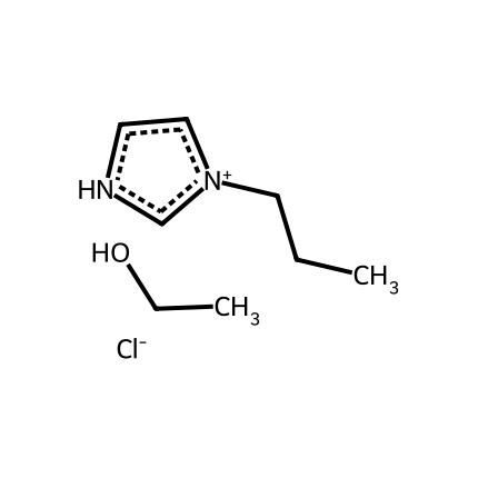 CCC[n+]1cc[nH]c1.CCO.[Cl-]